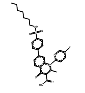 CCCCCCCNS(=O)(=O)c1ccc(-c2ccc3c(=O)c(C(=O)O)c(F)n(-c4ccc(F)cn4)c3c2)cc1